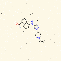 O=C1Nc2ccc(Nc3cnn(C4CCN(C(=O)O)CC4)c3)c3cccc1c23